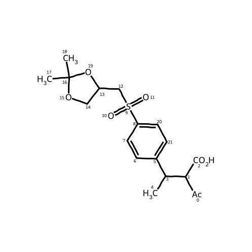 CC(=O)C(C(=O)O)C(C)c1ccc(S(=O)(=O)CC2COC(C)(C)O2)cc1